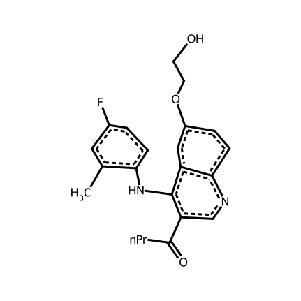 CCCC(=O)c1cnc2ccc(OCCO)cc2c1Nc1ccc(F)cc1C